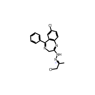 C/C(CCl)=N\NC1=Nc2ccc(Cl)cc2C(c2ccccc2)=NC1